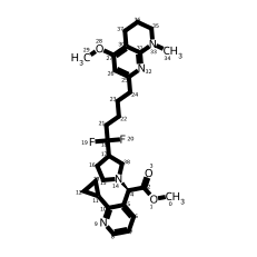 COC(=O)[C@@H](c1cccnc1C1CC1)N1CCC(C(F)(F)CCCCc2cc(OC)c3c(n2)N(C)CCC3)C1